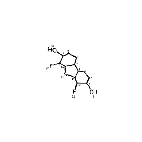 OC1CCC2C3CCC(O)C(F)C3SC2C1F